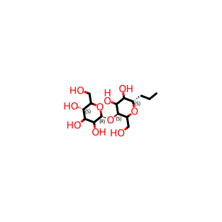 CCC[C@@H]1OC(CO)[C@@H](O[C@H]2OC(CO)[C@@H](O)C(O)C2O)C(O)C1O